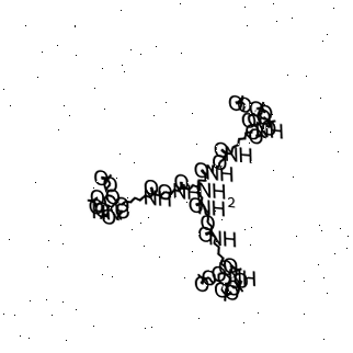 CC(=O)N[C@H]1[C@H](OCCCCCNC(=O)COCCNC(=O)CCC(N)(CCC(=O)NCCOCC(=O)NCCCCCO[C@@H]2O[C@H](COC(C)=O)[C@H](OC(C)=O)[C@H](OC(C)=O)[C@H]2NC(C)=O)CCC(=O)NCCOCC(=O)NCCCCCO[C@@H]2O[C@H](COC(C)=O)[C@H](OC(C)=O)[C@H](OC(C)=O)[C@H]2NC(C)=O)O[C@H](COC(C)=O)[C@H](OC(C)=O)[C@@H]1OC(C)=O